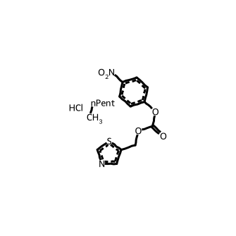 CCCCCC.Cl.O=C(OCc1cncs1)Oc1ccc([N+](=O)[O-])cc1